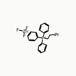 CC(C)CC[P+](c1ccccc1)(c1ccccc1)c1ccccc1.[F][Zn-]([F])[F]